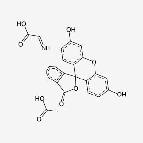 CC(=O)O.N=CC(=O)O.O=C1OC2(c3ccc(O)cc3Oc3cc(O)ccc32)c2ccccc21